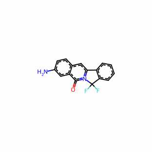 Nc1ccc2cc3n(c(=O)c2c1)C(F)(F)c1ccccc1-3